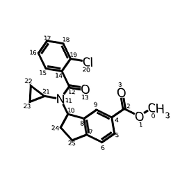 COC(=O)c1ccc2c(c1)C(N(C(=O)c1ccccc1Cl)C1CC1)CC2